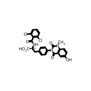 Cn1c(=O)n(-c2ccc(C[C@H](NC(=O)c3c(Cl)cccc3Cl)C(=O)O)cc2)c(=O)c2cc(O)ccc21